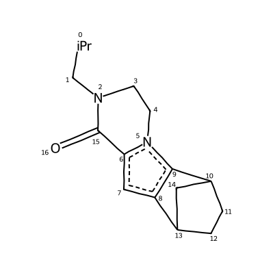 CC(C)CN1CCn2c(cc3c2C2CCC3C2)C1=O